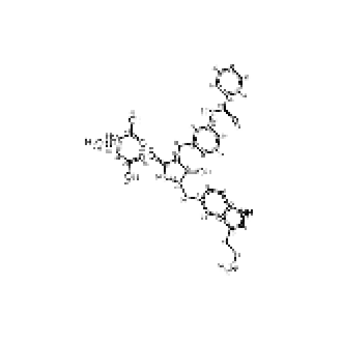 NCCc1c[nH]c2ccc(CC3NC(=O)N(Cc4cccc(NC(=O)c5ccccc5)c4)C3=O)cc12.O.O.O=C(O)/C=C\C(=O)O